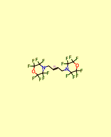 FC1(F)OC(F)(F)C(F)(F)N(C/C=C/CN2C(F)(F)C(F)(F)OC(F)(F)C2(F)F)C1(F)F